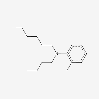 CCCCCCN(CCCC)c1ccccc1C